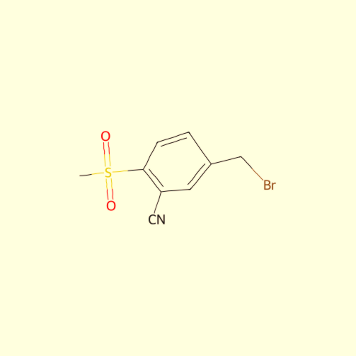 CS(=O)(=O)c1ccc(CBr)cc1C#N